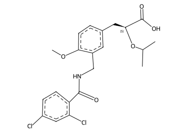 COc1ccc(C[C@H](OC(C)C)C(=O)O)cc1CNC(=O)c1ccc(Cl)cc1Cl